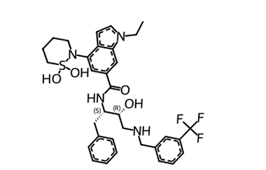 CCn1ccc2c(N3CCCCS3(O)O)cc(C(=O)N[C@@H](Cc3ccccc3)[C@H](O)CNCc3cccc(C(F)(F)F)c3)cc21